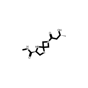 CNC(=O)[C@@H]1CSC2(CN(C(=O)C[C@@H](C)O)C2)N1